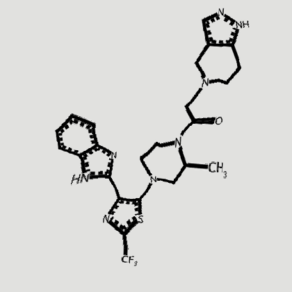 CC1CN(c2sc(C(F)(F)F)nc2-c2nc3ccccc3[nH]2)CCN1C(=O)CN1CCc2[nH]ncc2C1